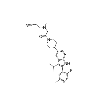 Cc1cc(-c2[nH]c3ccc(C4CCN(C(=O)CN(C)CCC#N)CC4)cc3c2C(C)C)c(F)cn1